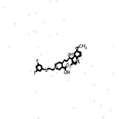 COc1ccc2ncc(F)c([C@H](O)CCC3CCN(CCSc4cc(F)cc(F)c4)CC3C(=O)O)c2c1